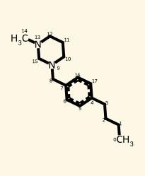 CCCCc1ccc(CN2CCCN(C)C2)cc1